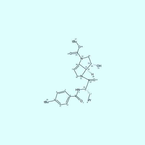 CC(C)C[C@H](NC(=O)c1ccc(C(C)(C)C)cc1)C(=O)N1CC=C2[C@H]1[C@@H](O)CN2C(=O)OC(C)(C)C